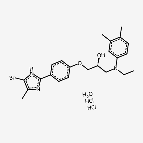 CCN(C[C@H](O)COc1ccc(-c2nc(C)c(Br)[nH]2)cc1)c1ccc(C)c(C)c1.Cl.Cl.O